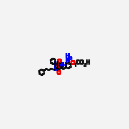 CC(Oc1ccc(C[C@H](NS(=O)(=O)c2ccccc2)C(=O)NCCCCc2ccccc2)cc1N)C(=O)O